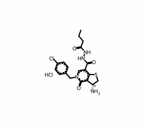 CCCC(=O)NNC(=O)c1cn(Cc2ccc(Cl)cc2)c(=O)c2c1SC[C@@H]2N.Cl